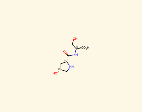 O=C(O)[C@H](CO)NC(=O)[C@H]1C[C@@H](O)CN1